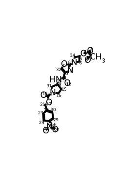 CS(=O)(=O)OC1CN(c2nc(C(=O)N[C@H]3CCN(C(=O)OCc4ccc([N+](=O)[O-])cc4)C3)co2)C1